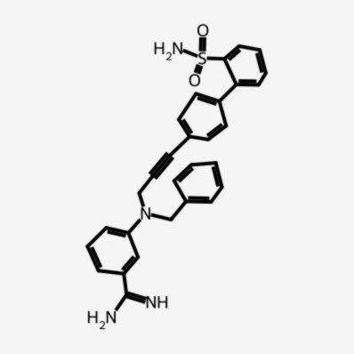 N=C(N)c1cccc(N(CC#Cc2ccc(-c3ccccc3S(N)(=O)=O)cc2)Cc2ccccc2)c1